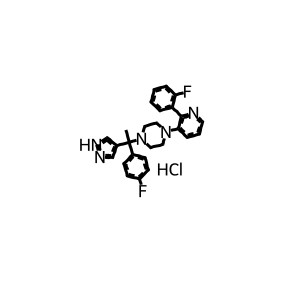 CC(c1ccc(F)cc1)(c1cn[nH]c1)N1CCN(c2cccnc2-c2ccccc2F)CC1.Cl